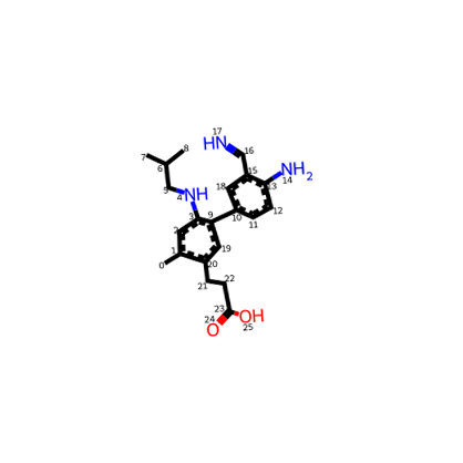 Cc1cc(NCC(C)C)c(-c2ccc(N)c(C=N)c2)cc1CCC(=O)O